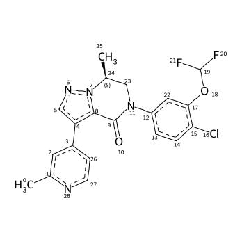 Cc1cc(-c2cnn3c2C(=O)N(c2ccc(Cl)c(OC(F)F)c2)C[C@@H]3C)ccn1